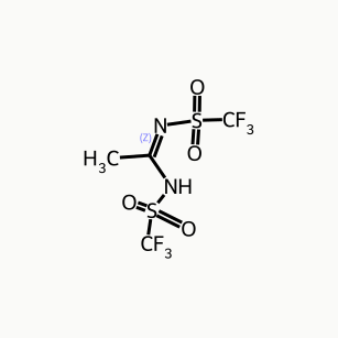 C/C(=N/S(=O)(=O)C(F)(F)F)NS(=O)(=O)C(F)(F)F